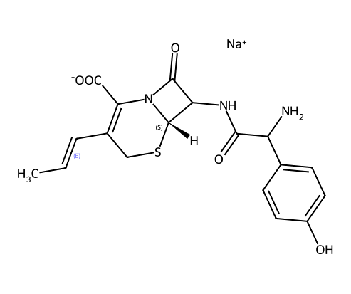 C/C=C/C1=C(C(=O)[O-])N2C(=O)C(NC(=O)C(N)c3ccc(O)cc3)[C@@H]2SC1.[Na+]